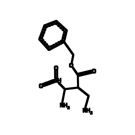 NCC(C(=O)OCc1ccccc1)C(N)[SH](=O)=O